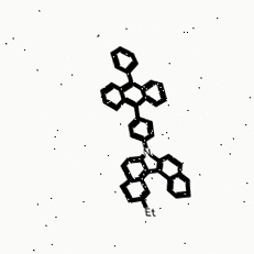 CCc1ccc2ccc3c(c2c1)c1c2ccccc2ccc1n3-c1ccc(-c2c3ccccc3c(-c3ccccc3)c3ccccc23)cc1